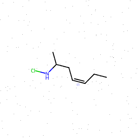 CC/C=C\CC(C)NCl